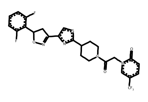 O=C(Cn1cc(C(F)(F)F)ccc1=O)N1CCC(c2nc(C3=NOC(c4c(F)cccc4F)C3)cs2)CC1